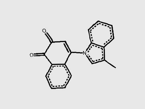 Cc1cn(C2=CC(=O)C(=O)c3ccccc32)c2ccccc12